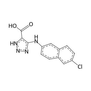 O=C(O)c1[nH]nnc1Nc1ccc2cc(Cl)ccc2c1